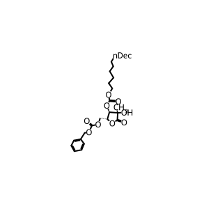 CCCCCCCCCCCCCCCCOC(=O)O[C@@H]1[C@@H](COC(=O)OCc2ccccc2)OC(=O)[C@@]1(C)O